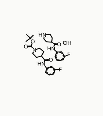 CC(C)(C)OC(=O)N1CCC(C(=O)Nc2cccc(F)c2)CC1.Cl.O=C(Nc1cccc(F)c1)C1CCNCC1